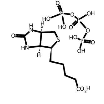 O=C(O)CCCC[C@@H]1SC[C@@H]2NC(=O)N[C@@H]21.O=P(O)(O)OP(=O)(O)OP(=O)(O)O